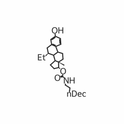 CCCCCCCCCCCCNC(=O)O[C@H]1CCC2C3C(CC[C@@]21C)c1ccc(O)cc1C[C@@H]3CC